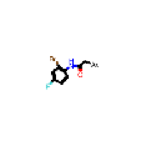 CC(=O)CC(=O)Nc1ccc(F)cc1Br